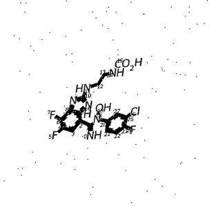 N=C(c1cc(F)c(F)c2nc(NCCNC(=O)O)[nH]c12)N(O)c1ccc(F)c(Cl)c1